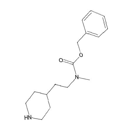 CN(CCC1CCNCC1)C(=O)OCc1ccccc1